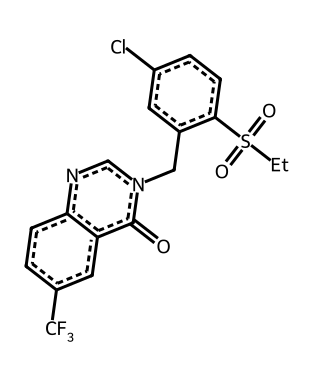 CCS(=O)(=O)c1ccc(Cl)cc1Cn1cnc2ccc(C(F)(F)F)cc2c1=O